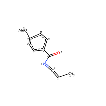 CC=C=NC(=O)c1ccc(OC)cc1